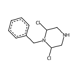 ClC1CNCC(Cl)N1Cc1ccccc1